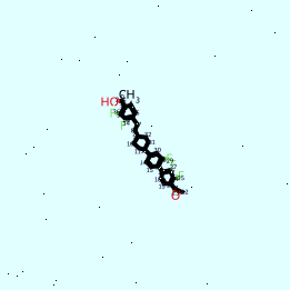 CC(O)c1ccc(CCC2CCC(c3ccc(-c4ccc(C5CO5)c(F)c4F)c(F)c3)CC2)c(F)c1F